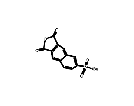 CC(C)(C)S(=O)(=O)c1ccc2cc3c(cc2c1)C(=O)OC3=O